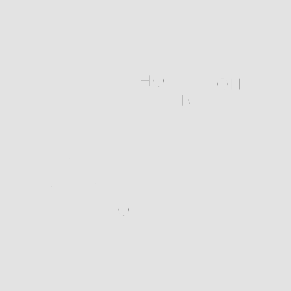 OB(O)c1cccc(OC2CC2)c1